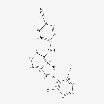 N#Cc1ccc(Nc2ncnc3nc(-c4c(Cl)cccc4Cl)[nH]c23)nc1